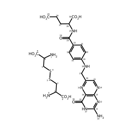 NC(CSSCC(N)C(=O)O)C(=O)O.Nc1nc2ncc(CNc3ccc(C(=O)NC(CCC(=O)O)C(=O)O)cc3)nc2c(=O)[nH]1